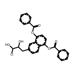 O=C(Oc1ccc(OC(=O)c2ccccc2)c2cc(CC(O)C(O)Cl)ccc12)c1ccccc1